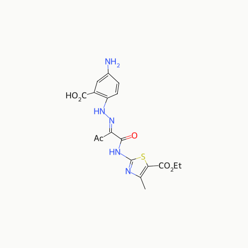 CCOC(=O)c1sc(NC(=O)/C(=N/Nc2ccc(N)cc2C(=O)O)C(C)=O)nc1C